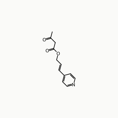 CC(=O)CC(=O)OCC=Cc1ccncc1